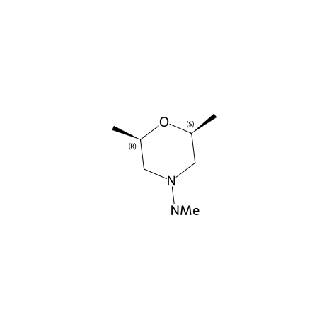 CNN1C[C@@H](C)O[C@@H](C)C1